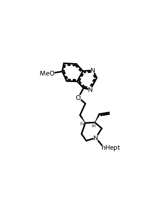 C=C[C@H]1CN(CCCCCCC)CC[C@H]1CCOc1ncnc2ccc(OC)cc12